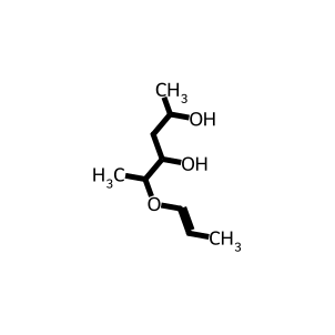 CC=COC(C)C(O)CC(C)O